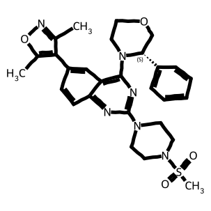 Cc1noc(C)c1-c1ccc2nc(N3CCN(S(C)(=O)=O)CC3)nc(N3CCOC[C@@H]3c3ccccc3)c2c1